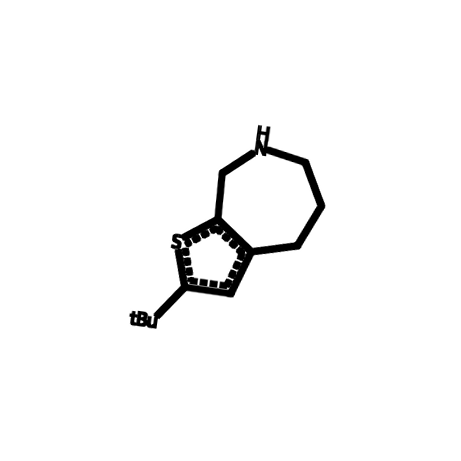 CC(C)(C)c1cc2c(s1)CNCCC2